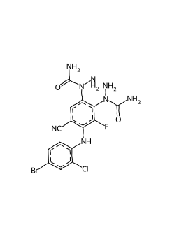 N#Cc1cc(N(N)C(N)=O)c(N(N)C(N)=O)c(F)c1Nc1ccc(Br)cc1Cl